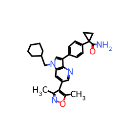 Cc1noc(C)c1-c1cnc2c(-c3ccc(C4(C(N)=O)CC4)cc3)cn(CC3CCCCC3)c2c1